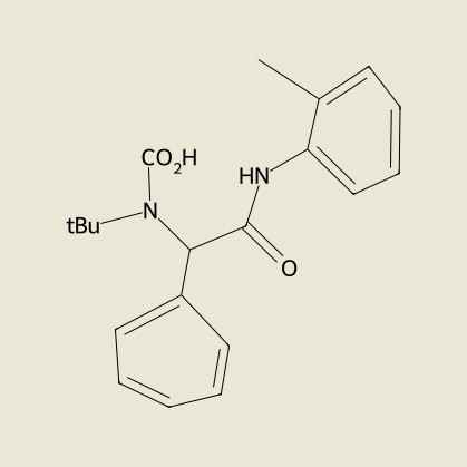 Cc1ccccc1NC(=O)C(c1ccccc1)N(C(=O)O)C(C)(C)C